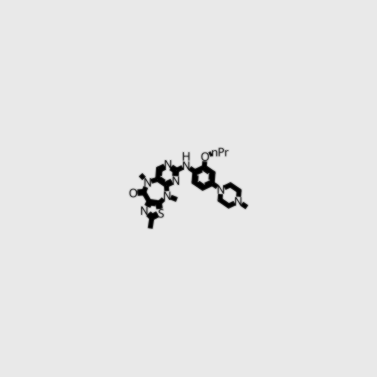 CCCOc1cc(N2CCN(C)CC2)ccc1Nc1ncc2c(n1)N(C)c1sc(C)nc1C(=O)N2C